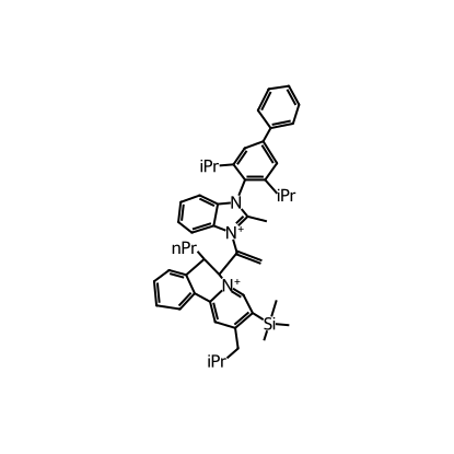 C=C(C1C(CCC)c2ccccc2-c2cc(CC(C)C)c([Si](C)(C)C)c[n+]21)[n+]1c(C)n(-c2c(C(C)C)cc(-c3ccccc3)cc2C(C)C)c2ccccc21